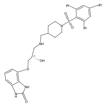 CC(C)c1cc(C(C)C)c(S(=O)(=O)N2CCC(CNC[C@H](O)COc3cccc4[nH]c(=O)[nH]c34)CC2)c(C(C)C)c1